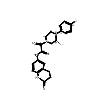 C[C@@H]1CN(C(=O)C(=O)Nc2ccc3c(c2)CCC(=O)N3)CCN1c1ccc(Cl)cc1